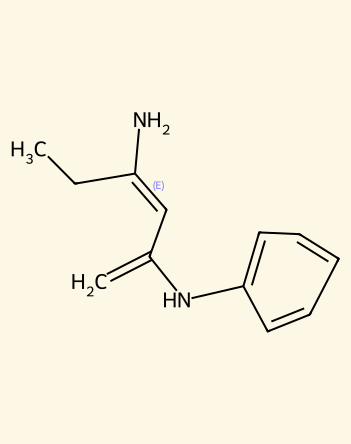 C=C(/C=C(/N)CC)Nc1ccccc1